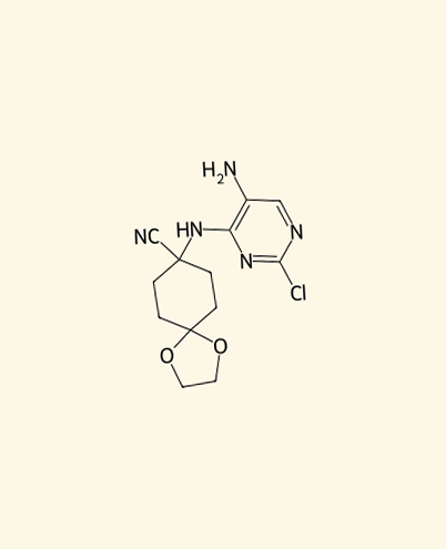 N#CC1(Nc2nc(Cl)ncc2N)CCC2(CC1)OCCO2